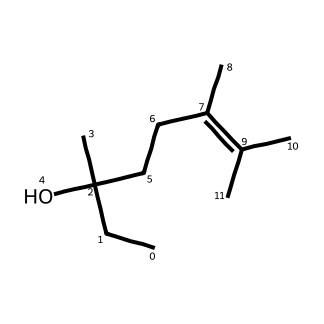 CCC(C)(O)CCC(C)=C(C)C